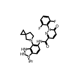 CC(C)N1NNc2c1ccc(NC(=O)c1ccc(=O)n(-c3c(F)cccc3F)n1)c2N1CCC2(CC2)C1